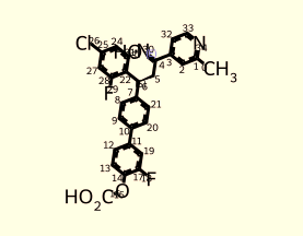 Cc1cc(/C(C[C@@H](c2ccc(-c3ccc(OC(=O)O)c(F)c3)cc2)c2ccc(Cl)cc2F)=N/O)ccn1